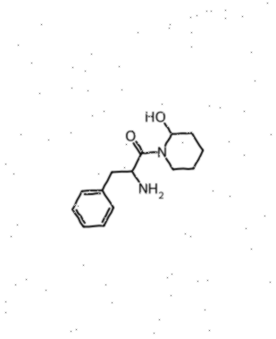 NC(Cc1ccccc1)C(=O)N1CCCCC1O